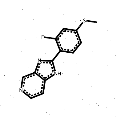 CSc1ccc(-c2nc3cnccc3[nH]2)c(F)c1